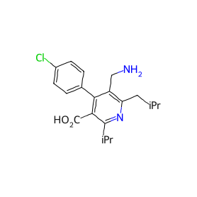 CC(C)Cc1nc(C(C)C)c(C(=O)O)c(-c2ccc(Cl)cc2)c1CN